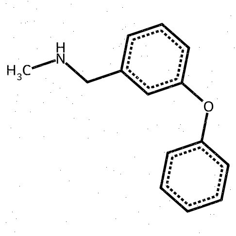 CNCc1cccc(Oc2ccccc2)c1